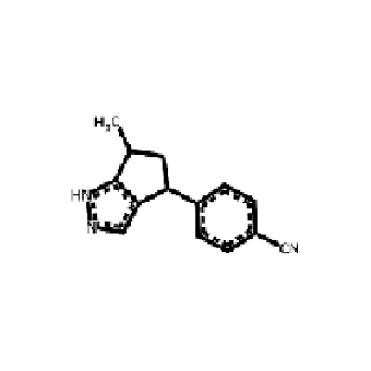 CC1CC(c2ccc(C#N)cc2)c2cn[nH]c21